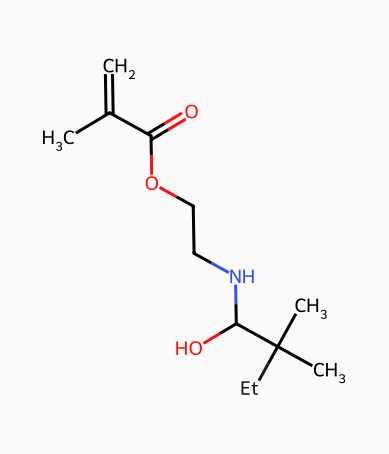 C=C(C)C(=O)OCCNC(O)C(C)(C)CC